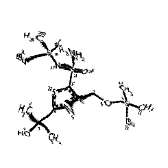 CC(C)(O)c1nc(CO[Si](C)(C)C(C)(C)C)c(S(N)(=O)=N[Si](C)(C)C(C)(C)C)s1